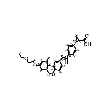 CCOCCOc1cc(C)c2c(c1)COc1ccc(CNc3ccc([C@H]4CC4C(=O)O)cc3)cc1-2